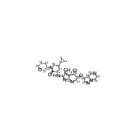 Cn1c(Nc2cc(C3CC3)cn([C@@H]3CCCOC3)c2=O)nc2ncc(Oc3cnn4ccncc34)c(Cl)c21